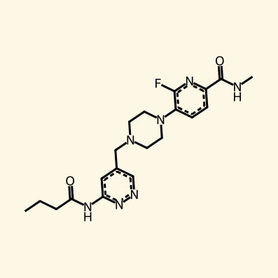 CCCC(=O)Nc1cc(CN2CCN(c3ccc(C(=O)NC)nc3F)CC2)cnn1